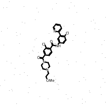 COCCN1CCN(C(=O)c2ccc(C(=O)Nc3ccc(Cl)c(-c4ccccn4)c3)c(Cl)c2)CC1